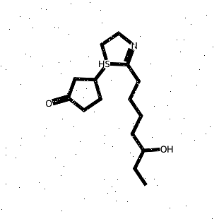 CCC(O)CCCCC1=NCC[SH]1C1CCC(=O)C1